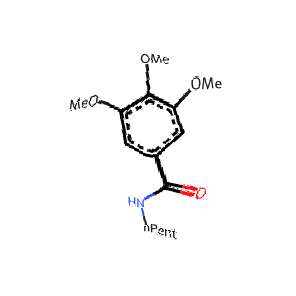 CCCCCNC(=O)c1cc(OC)c(OC)c(OC)c1